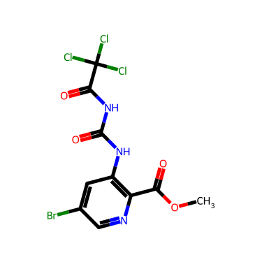 COC(=O)c1ncc(Br)cc1NC(=O)NC(=O)C(Cl)(Cl)Cl